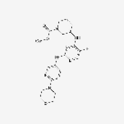 CC(C)(C)OC(=O)N1CCCC(Nc2nc(Nc3ccc(N4CCOCC4)nc3)ncc2F)C1